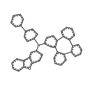 c1ccc(-c2ccc(N(c3ccc4c(c3)-c3ccccc3-c3ccccc3-c3ccccc3-4)c3ccc4oc5ccccc5c4c3)cc2)cc1